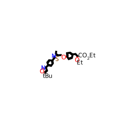 CCOC(=O)C(Cc1ccc(OCc2sc(-c3ccc(-c4cc(C(C)(C)C)on4)cc3)nc2C)cc1)OCC